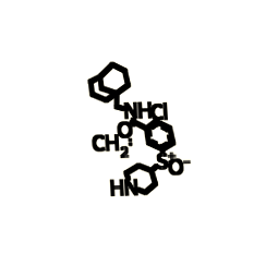 O=C(NCC12CCCC(CCC1)C2)c1cc([S+]([O-])C2CCNCC2)ccc1Cl.[CH2]